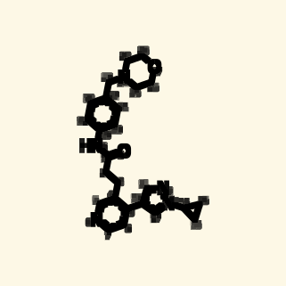 O=C(CCc1cnccc1-c1cnn(C2CC2)c1)Nc1ccc(CN2CCOCC2)cc1